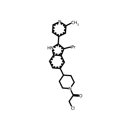 Cc1cc(-c2[nH]c3ccc(C4CCN(C(=O)CCl)CC4)cc3c2C(C)C)ccn1